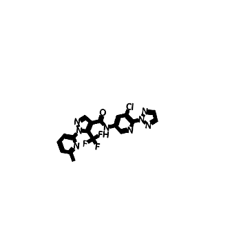 Cc1cccc(-n2ncc(C(=O)Nc3cnc(-n4nccn4)c(Cl)c3)c2C(F)(F)F)n1